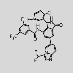 O=C(Nc1cc(-c2ccc3ncc(C(F)F)n3c2)cc2c1C(c1cc(F)ccc1Cl)NC2=O)c1cc(F)cc(C(F)(F)F)c1